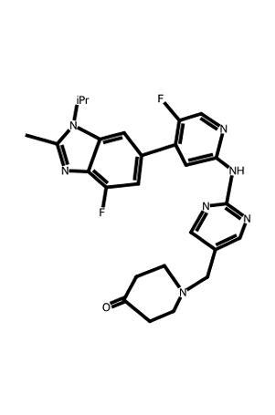 Cc1nc2c(F)cc(-c3cc(Nc4ncc(CN5CCC(=O)CC5)cn4)ncc3F)cc2n1C(C)C